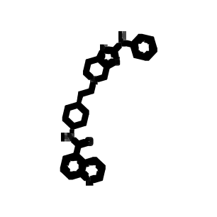 O=C(N[C@H]1CC[C@H](CCN2CCc3nc(Nc4ccccc4)sc3C2)CC1)c1cccc2ncccc12